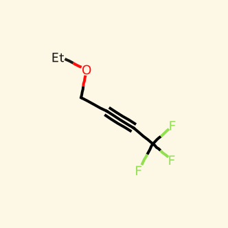 CCOCC#CC(F)(F)F